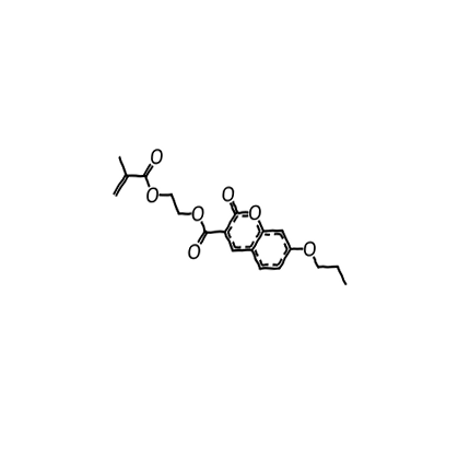 C=C(C)C(=O)OCCOC(=O)c1cc2ccc(OCCC)cc2oc1=O